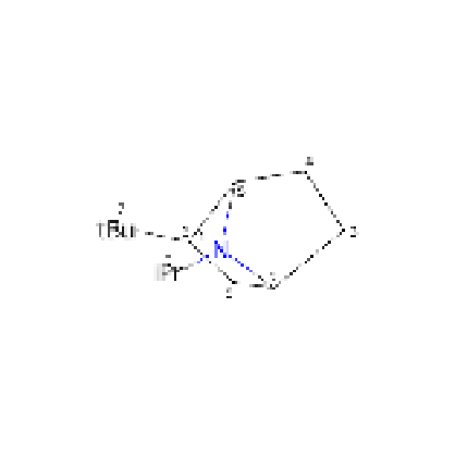 CC(C)N1C2CCC1C(C(C)(C)C)C2